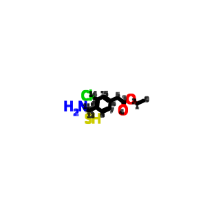 CCOC(=O)Cc1ccc(C(N)S)c(Cl)c1